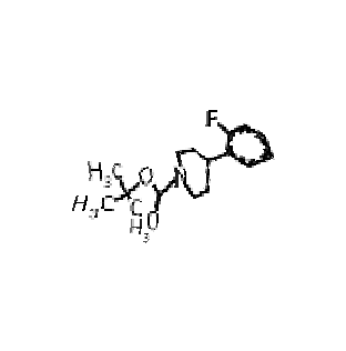 CC(C)(C)OC(=O)N1CCC(c2ccccc2F)CC1